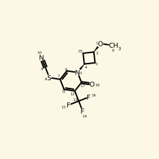 CO[C@H]1C[C@@H](n2cc(SC#N)cc(C(F)(F)F)c2=O)C1